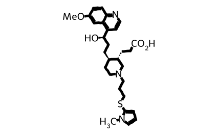 COc1ccc2nccc([C@H](O)CC[C@@H]3CCN(CCCSc4cccn4C)C[C@H]3CCC(=O)O)c2c1